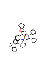 CC1(C)c2ccccc2-c2c(-c3ccccc3N(c3ccc(-c4ccccc4)c(-c4ccccc4)c3)c3ccccc3-c3cccc4c3oc3ccccc34)cccc21